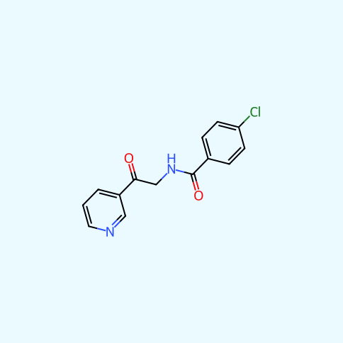 O=C(CNC(=O)c1ccc(Cl)cc1)c1cccnc1